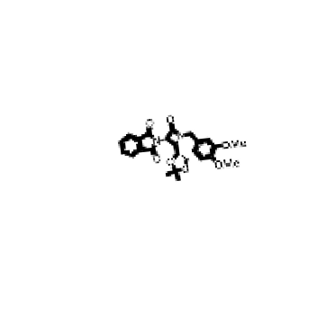 COc1ccc(CN2C(=O)[C@@H](N3C(=O)c4ccccc4C3=O)[C@H]2[C@@H]2COC(C)(C)O2)cc1OC